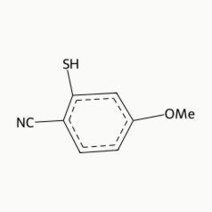 COc1ccc(C#N)c(S)c1